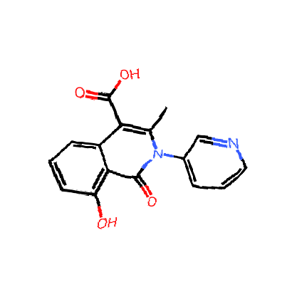 Cc1c(C(=O)O)c2cccc(O)c2c(=O)n1-c1cccnc1